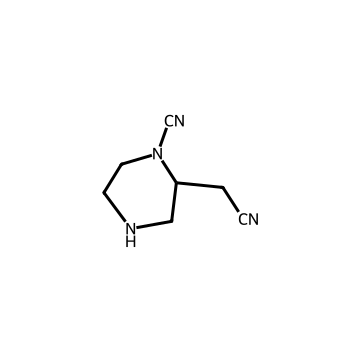 N#CCC1CNCCN1C#N